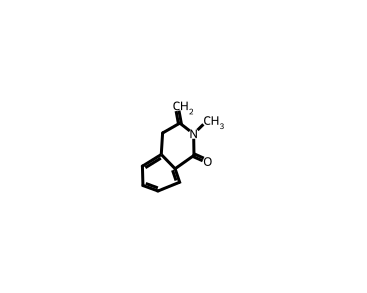 C=C1Cc2ccccc2C(=O)N1C